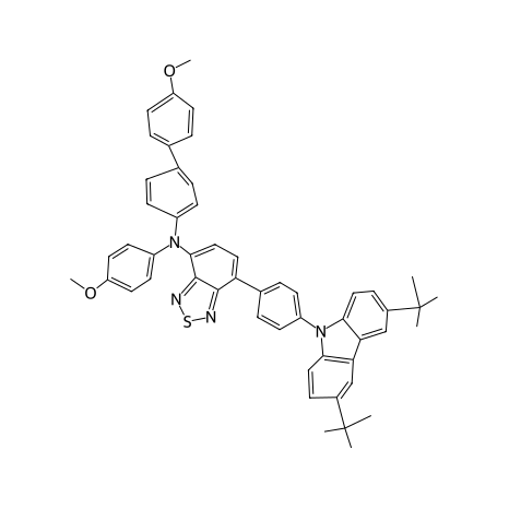 COc1ccc(-c2ccc(N(c3ccc(OC)cc3)c3ccc(-c4ccc(-n5c6ccc(C(C)(C)C)cc6c6cc(C(C)(C)C)ccc65)cc4)c4nsnc34)cc2)cc1